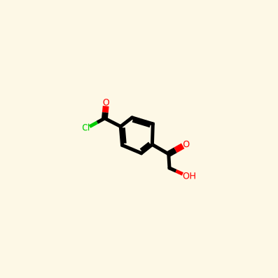 O=C(Cl)c1ccc(C(=O)CO)cc1